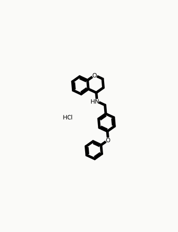 Cl.c1ccc(Oc2ccc(CNC3CCOc4ccccc43)cc2)cc1